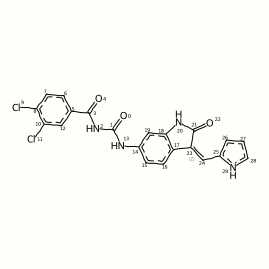 O=C(NC(=O)c1ccc(Cl)c(Cl)c1)Nc1ccc2c(c1)NC(=O)/C2=C\c1ccc[nH]1